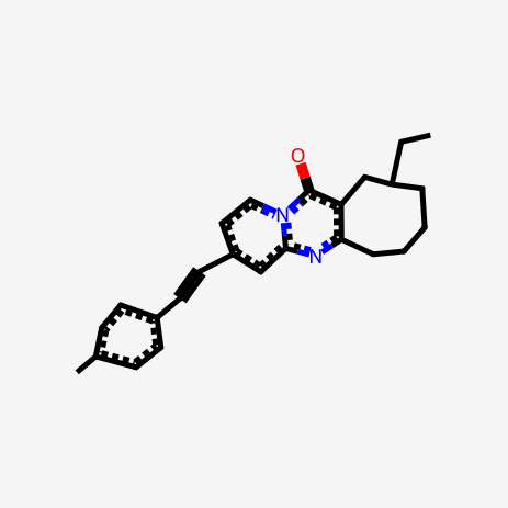 CCC1CCCCc2nc3cc(C#Cc4ccc(C)cc4)ccn3c(=O)c2C1